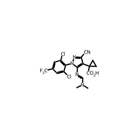 CN(C)C=Nc1c(C2(C(=O)O)CC2)c(C#N)nn1-c1c(Cl)cc(C(F)(F)F)cc1Cl